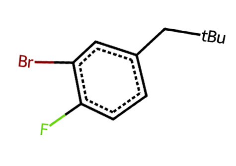 CC(C)(C)Cc1ccc(F)c(Br)c1